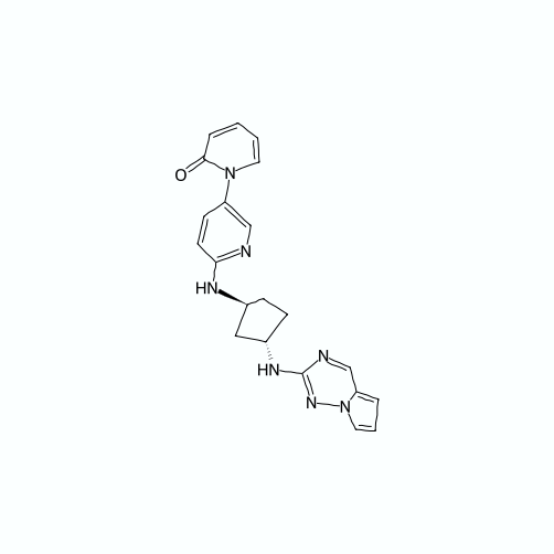 O=c1ccccn1-c1ccc(N[C@H]2CC[C@H](Nc3ncc4cccn4n3)C2)nc1